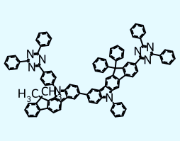 CC1(C)c2ccccc2-c2ccc3c4cc(-c5ccc6c(c5)c5cc7c(cc5n6-c5ccccc5)-c5ccc(-c6nc(-c8ccccc8)nc(-c8ccccc8)n6)cc5C7(c5ccccc5)c5ccccc5)ccc4n(-c4ccc(-c5nc(-c6ccccc6)nc(-c6ccccc6)n5)cc4)c3c21